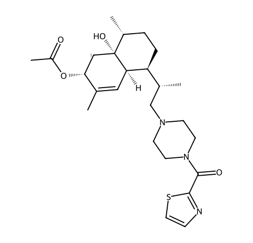 CC(=O)O[C@@H]1[C][C@@]2(O)[C@H](C)CC[C@@H]([C@H](C)CN3CCN(C(=O)c4nccs4)CC3)[C@H]2C=C1C